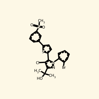 CC(C)(O)c1nn(-c2ccccc2Br)c(-c2ccc(-c3cccc(S(C)(=O)=O)c3)s2)c1Cl